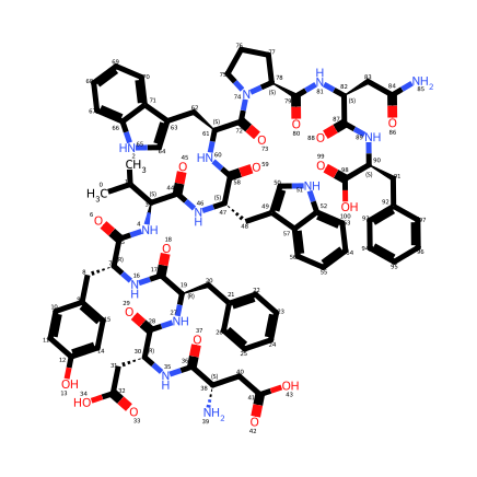 CC(C)[C@H](NC(=O)[C@@H](Cc1ccc(O)cc1)NC(=O)[C@@H](Cc1ccccc1)NC(=O)[C@@H](CC(=O)O)NC(=O)[C@@H](N)CC(=O)O)C(=O)N[C@@H](Cc1c[nH]c2ccccc12)C(=O)N[C@@H](Cc1c[nH]c2ccccc12)C(=O)N1CCC[C@H]1C(=O)N[C@@H](CC(N)=O)C(=O)N[C@@H](Cc1ccccc1)C(=O)O